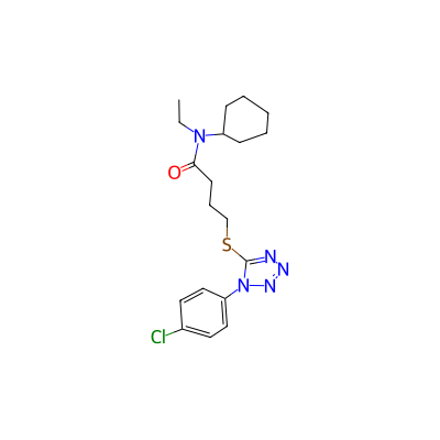 CCN(C(=O)CCCSc1nnnn1-c1ccc(Cl)cc1)C1CCCCC1